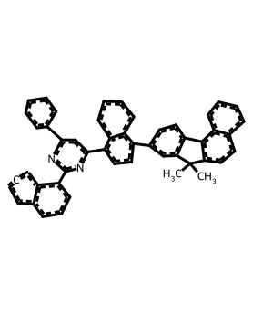 CC1(C)c2cc(-c3ccc(-c4cc(-c5ccccc5)nc(-c5cccc6ccccc56)n4)c4ccccc34)ccc2-c2c1ccc1ccccc21